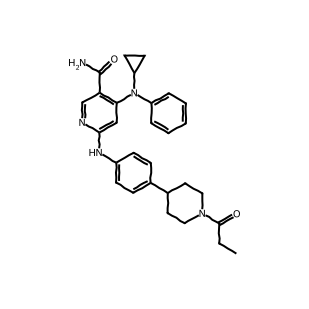 CCC(=O)N1CCC(c2ccc(Nc3cc(N(c4ccccc4)C4CC4)c(C(N)=O)cn3)cc2)CC1